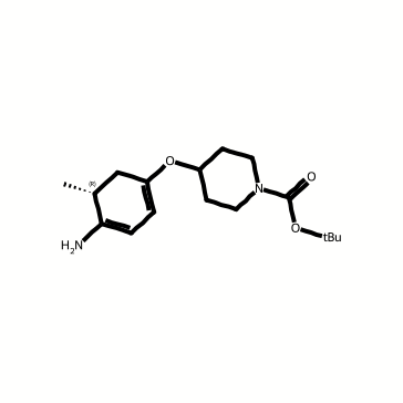 C[C@@H]1CC(OC2CCN(C(=O)OC(C)(C)C)CC2)=CC=C1N